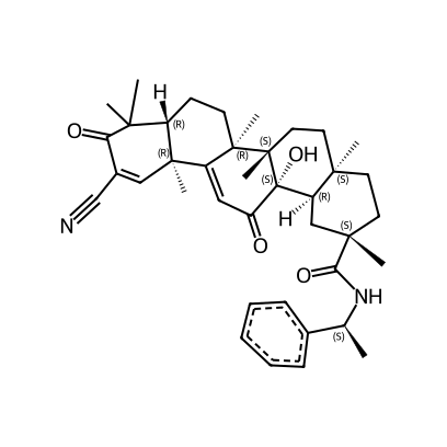 C[C@H](NC(=O)[C@@]1(C)CC[C@]2(C)CC[C@@]3(C)[C@]4(C)CC[C@H]5C(C)(C)C(=O)C(C#N)=C[C@]5(C)C4=CC(=O)[C@]3(O)[C@@H]2C1)c1ccccc1